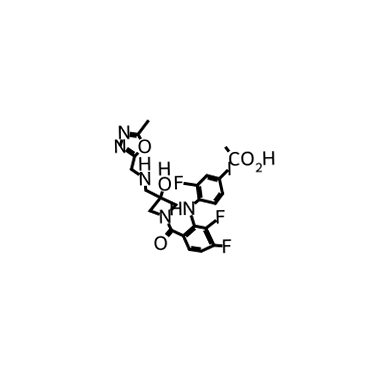 CC(=O)O.Cc1nnc(CNCC2(O)CN(C(=O)c3ccc(F)c(F)c3Nc3ccc(I)cc3F)C2)o1